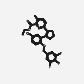 CCOC(=O)c1nc(C2=C(c3cc(Cl)ccc3OCc3cc(F)c(F)c(F)c3)CCC2)ccc1C